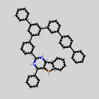 c1ccc(-c2ccc(-c3cccc(-c4cc(-c5ccccc5)cc(-c5cccc(-c6nc(-c7ccccc7)c7sc8ccccc8c7n6)c5)c4)c3)cc2)cc1